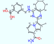 Cc1cc2c(C(N)=O)cccn2c1-c1nc2c(c(NCc3cccc(B(O)O)c3)n1)CCCCC2